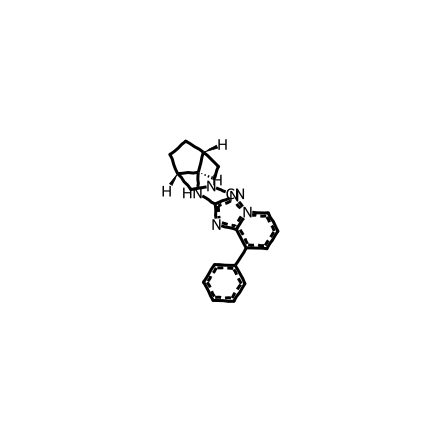 N#CN1C[C@H]2CC[C@@H](C1)[C@@H]2Nc1nc2c(-c3ccccc3)cccn2n1